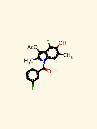 CC(=O)Oc1c(C)n(C(=O)c2cccc(F)c2)c2cc(C)c(O)c(F)c12